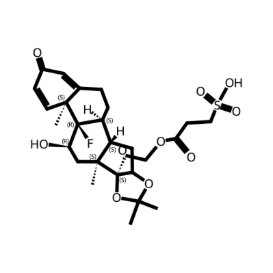 CC1(C)OC2C[C@H]3[C@@H]4CCC5=CC(=O)C=C[C@]5(C)[C@@]4(F)[C@H](O)C[C@]3(C)[C@]2(C(=O)COC(=O)CCS(=O)(=O)O)O1